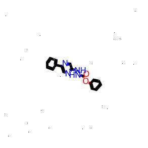 O=C(NNc1cnc(-c2ccccc2)cn1)Oc1ccccc1